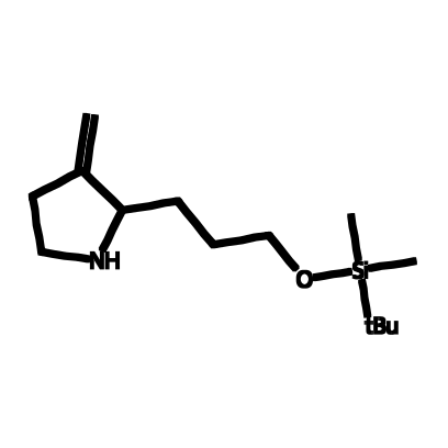 C=C1CCNC1CCCO[Si](C)(C)C(C)(C)C